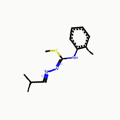 CS/C(=N\N=C\C(C)C)Nc1ccccc1C